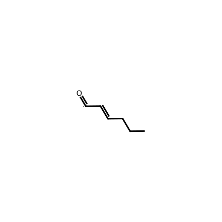 CCCC=C[C]=O